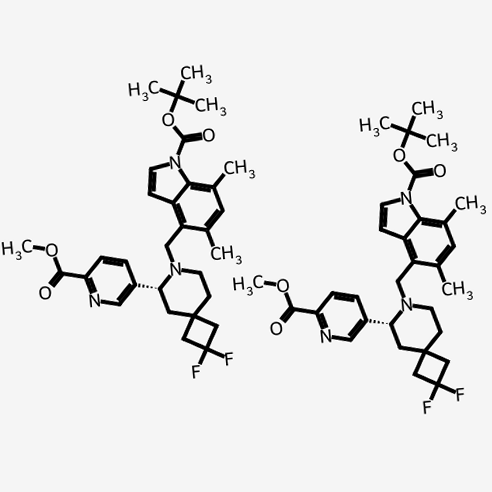 COC(=O)c1ccc([C@H]2CC3(CCN2Cc2c(C)cc(C)c4c2ccn4C(=O)OC(C)(C)C)CC(F)(F)C3)cn1.COC(=O)c1ccc([C@H]2CC3(CCN2Cc2c(C)cc(C)c4c2ccn4C(=O)OC(C)(C)C)CC(F)(F)C3)cn1